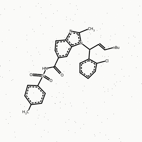 CCCCC=CC(c1ccccc1Cl)n1c(C)nc2ccc(C(=O)NS(=O)(=O)c3ccc(C)cc3)cc21